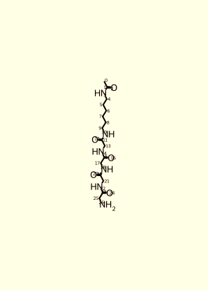 CC(=O)NCCCCCCNC(=O)CNC(=O)CNC(=O)CNC(=O)CN